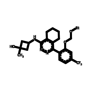 CCOCOc1cc(C(F)(F)F)ccc1-c1nnc(NC2CC(C)(O)C2)c2c1CCCC2